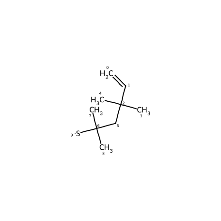 C=CC(C)(C)CC(C)(C)[S]